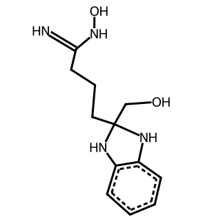 N=C(CCCC1(CO)Nc2ccccc2N1)NO